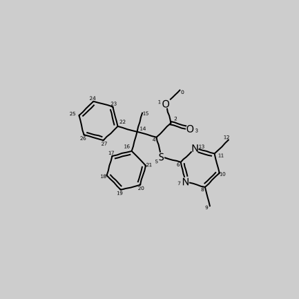 COC(=O)C(Sc1nc(C)cc(C)n1)C(C)(c1ccccc1)c1ccccc1